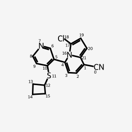 N#Cc1ccc(-c2cnccc2SC2CCC2)n2c(Cl)ccc12